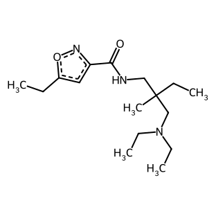 CCc1cc(C(=O)NCC(C)(CC)CN(CC)CC)no1